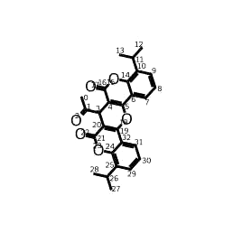 CC(=O)C1c2c(c3cccc(C(C)C)c3oc2=O)Oc2c1c(=O)oc1c(C(C)C)cccc21